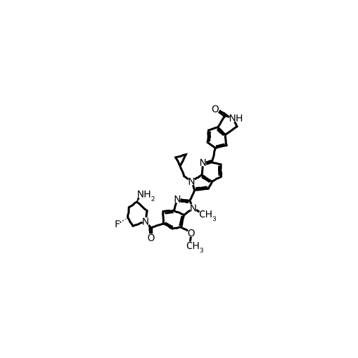 COc1cc(C(=O)N2C[C@H](N)C[C@@H](F)C2)cc2nc(-c3cc4ccc(-c5ccc6c(c5)CNC6=O)nc4n3CC3CC3)n(C)c12